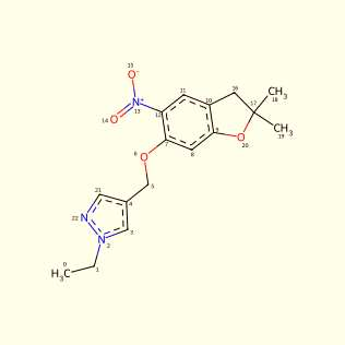 CCn1cc(COc2cc3c(cc2[N+](=O)[O-])CC(C)(C)O3)cn1